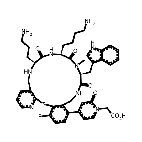 CN1C(=O)[C@H](CCCCN)NC(=O)[C@H](CCCN)NCc2cccnc2Sc2c(F)ccc(-c3ccn(CC(=O)O)c(=O)c3)c2CNC(=O)[C@@H]1Cc1c[nH]c2ccccc12